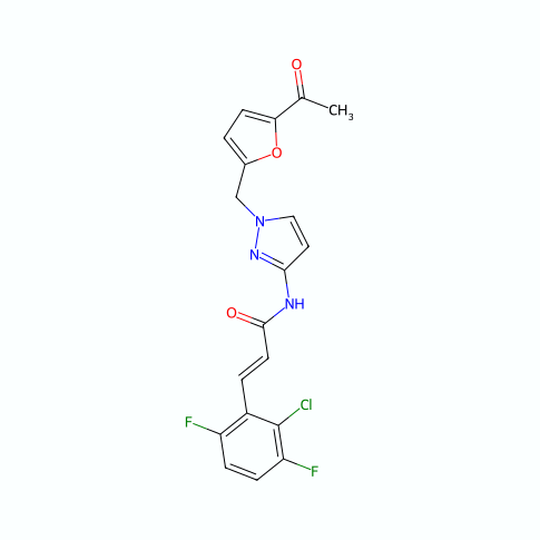 CC(=O)c1ccc(Cn2ccc(NC(=O)C=Cc3c(F)ccc(F)c3Cl)n2)o1